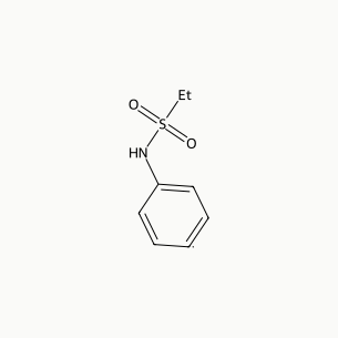 CCS(=O)(=O)Nc1cc[c]cc1